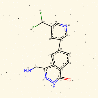 NCc1n[nH]c(=O)c2ccc(-c3cncc(C(F)F)c3)cc12